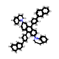 c1ccc2c(c1)CCCN2c1ccc2c(-c3ccc(-c4ccc5ccccc5c4)cc3)c3cc(N4CCCc5ccccc54)ccc3c(-c3ccc(-c4ccc5ccccc5c4)cc3)c2c1